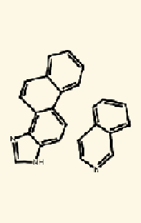 c1ccc2c(c1)ccc1c2ccc2[nH]cnc21.c1ccc2cnccc2c1